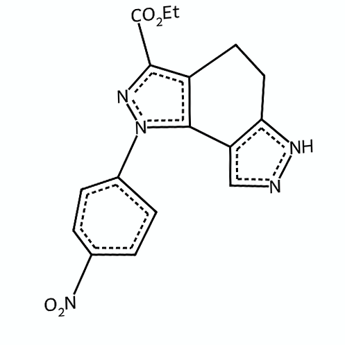 CCOC(=O)c1nn(-c2ccc([N+](=O)[O-])cc2)c2c1CCc1[nH]ncc1-2